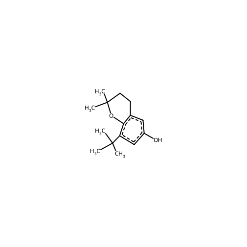 CC1(C)CCc2cc(O)cc(C(C)(C)C)c2O1